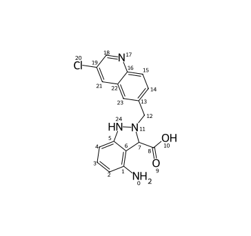 Nc1cccc2c1C(C(=O)O)N(Cc1ccc3ncc(Cl)cc3c1)N2